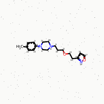 Cc1ccc(N2CCN(CCCOCCc3ccon3)CC2)cc1